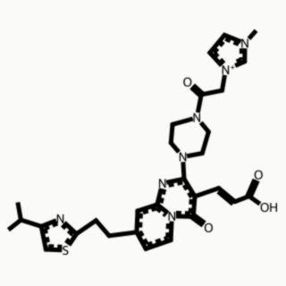 CC(C)c1csc(CCc2ccn3c(=O)c(C=CC(=O)O)c(N4CCN(C(=O)C[n+]5ccn(C)c5)CC4)nc3c2)n1